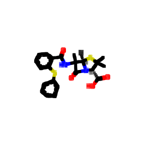 CC1(C)S[C@H]2N(C(=O)C2(C)NC(=O)c2ccccc2Sc2ccccc2)[C@H]1C(=O)O